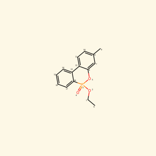 CCOP1(=O)Oc2cc(C)ccc2-c2ccccc21